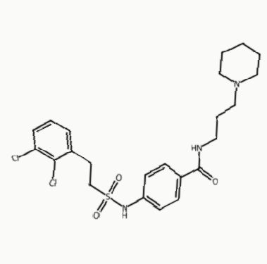 O=C(NCCCN1CCCCC1)c1ccc(NS(=O)(=O)CCc2cccc(Cl)c2Cl)cc1